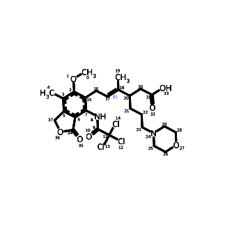 COc1c(C)c2c(c(NC(=O)C(Cl)(Cl)Cl)c1C/C=C(\C)C(CCCN1CCOCC1)CC(=O)O)C(=O)OC2